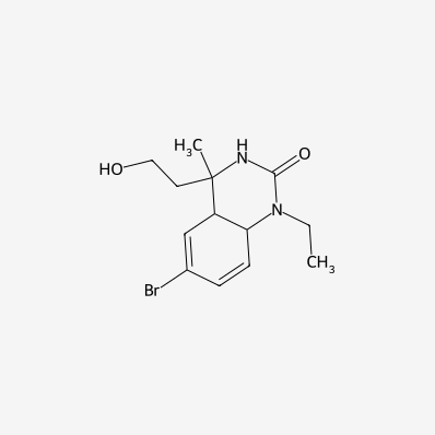 CCN1C(=O)NC(C)(CCO)C2C=C(Br)C=CC21